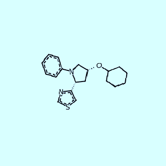 c1ccc(N2C[C@H](OC3CCCCC3)C[C@@H]2c2cscn2)cc1